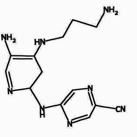 N#Cc1cnc(NC2CC(NCCCN)=C(N)C=N2)cn1